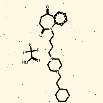 O=C(O)C(F)(F)F.O=C1CCC(=O)N(CCCCN2CCN(CCC3CCCCC3)CC2)c2ccccc21